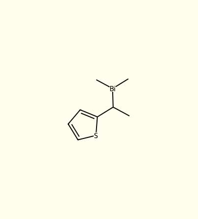 C[CH](c1cccs1)[Bi]([CH3])[CH3]